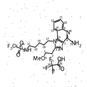 COCCc1nc2c(N)nc3ccccc3c2n1CCCCCNS(=O)(=O)C(F)(F)F.O=C(O)C(F)(F)F